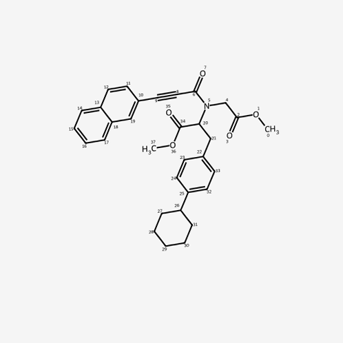 COC(=O)CN(C(=O)C#Cc1ccc2ccccc2c1)C(Cc1ccc(C2CCCCC2)cc1)C(=O)OC